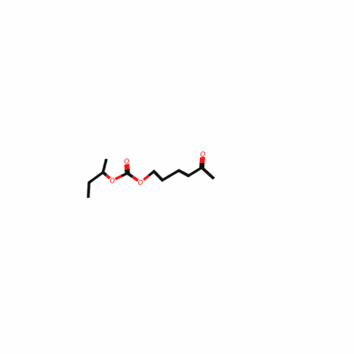 CCC(C)OC(=O)OCCCCC(C)=O